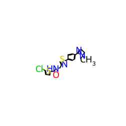 CN1CCN=C1c1ccc(-c2nc(CNC(=O)c3ccc(Cl)s3)cs2)cc1